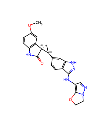 COc1ccc2c(c1)[C@]1(C[C@H]1c1ccc3c(Nc4cnn5c4OCC5)n[nH]c3c1)C(=O)N2